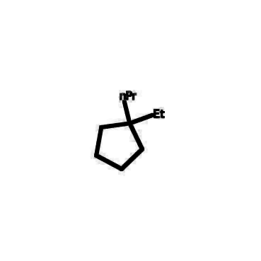 CCCC1(CC)CCCC1